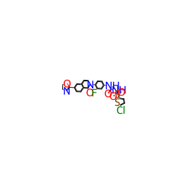 O=C(Nc1ccc(-n2ccc3cc(C4=NCCO4)ccc3c2=O)c(F)c1)NS(=O)(=O)c1ccc(Cl)s1